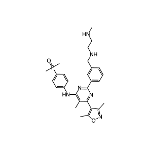 CNCCNCc1cccc(-c2nc(Nc3ccc(P(C)(C)=O)cc3)c(C)c(-c3c(C)noc3C)n2)c1